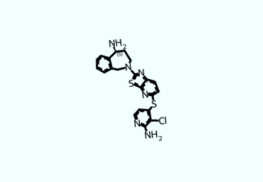 Nc1nccc(Sc2ccc3nc(N4CC[C@H](N)c5ccccc5C4)sc3n2)c1Cl